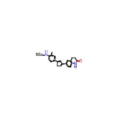 Cc1cc(C2=CC(c3ccc4c(c3)CCC(=O)N4)=CC2)ccc1NCC(C)(C)C